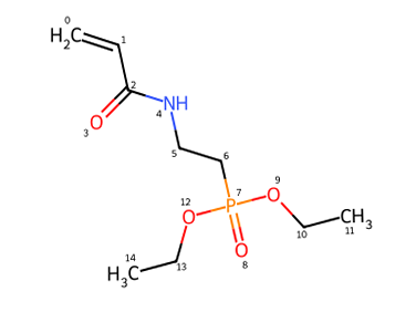 C=CC(=O)NCCP(=O)(OCC)OCC